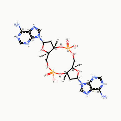 BP1(=O)OC[C@H]2O[C@@H](n3cnc4c(N)ncnc43)C[C@@H]2OP(=O)(O)OC[C@H]2O[C@@H](n3cnc4c(N)ncnc43)C[C@@H]2O1